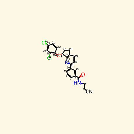 N#CCCNC(=O)c1cccc(-c2ccc3c(n2)C(Oc2ccc(Cl)cc2Cl)CC3)c1